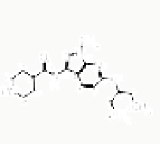 CCC(CC)Oc1ccc2c(NC(=O)C3CCNCC3)nn(C)c2n1